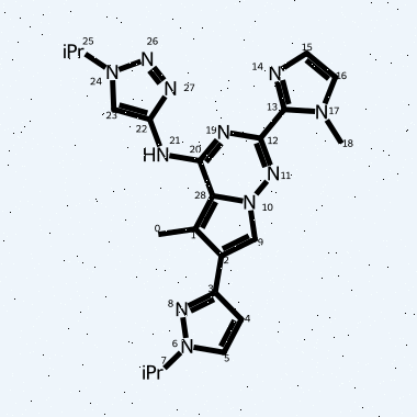 Cc1c(-c2ccn(C(C)C)n2)cn2nc(-c3nccn3C)nc(Nc3cn(C(C)C)nn3)c12